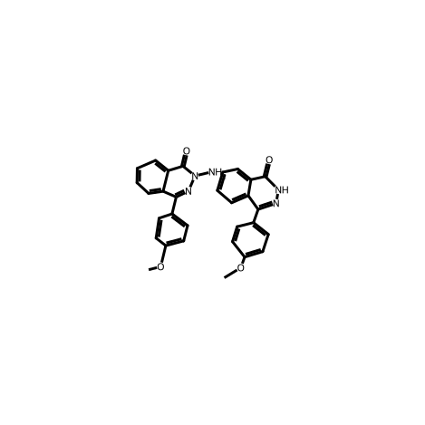 COc1ccc(-c2n[nH]c(=O)c3ccccc23)cc1.COc1ccc(-c2nn(N)c(=O)c3ccccc23)cc1